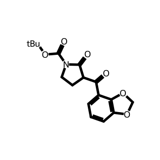 CC(C)(C)OC(=O)N1CCC(C(=O)c2cccc3c2OCO3)C1=O